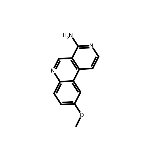 COc1ccc2ncc3c(N)nccc3c2c1